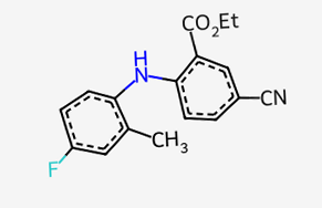 CCOC(=O)c1cc(C#N)ccc1Nc1ccc(F)cc1C